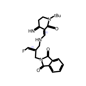 CC(C)(C)N1CCC(=N)/C(=C\NC/C(=C/F)CN2C(=O)c3ccccc3C2=O)C1=O